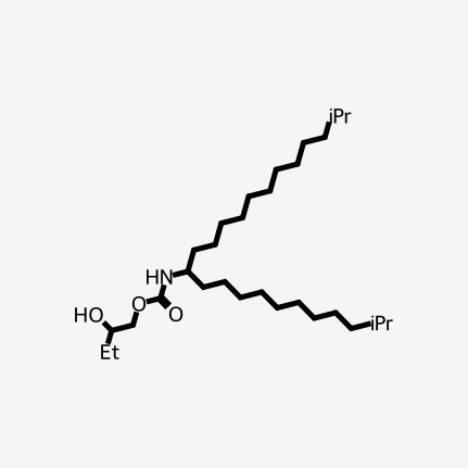 CCC(O)COC(=O)NC(CCCCCCCCCCC(C)C)CCCCCCCCCC(C)C